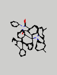 Cc1ccc2c(c1)c1cc(C)ccc1n2C1(c2cccc3c2C(=O)N(c2ccccc2)C3=O)c2ccccc2C2(c3ccccc3-c3ccccc32)c2ccccc21